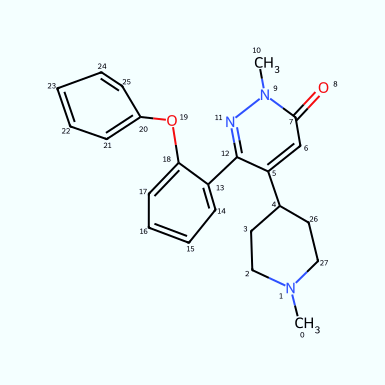 CN1CCC(c2cc(=O)n(C)nc2-c2ccccc2Oc2ccccc2)CC1